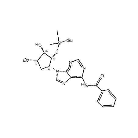 CC[C@H]1C[C@@H](n2cnc3c(NC(=O)c4ccccc4)ncnc32)[C@H](O[Si](C)(C)C(C)(C)C)[C@@H]1O